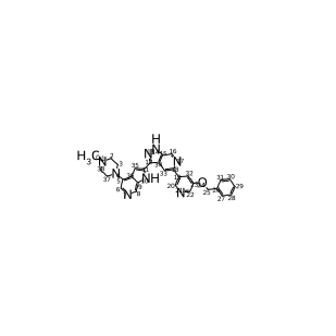 CN1CCN(c2cncc3[nH]c(-c4n[nH]c5cnc(-c6cncc(OCc7ccccc7)c6)cc45)cc23)CC1